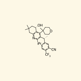 CC(C)c1nc2c(c(C3(C)CCOCC3)c1[C@H](C)c1ccc(C(F)(F)F)c(C#N)c1)[C@@H](O)CC(C)(C)C2